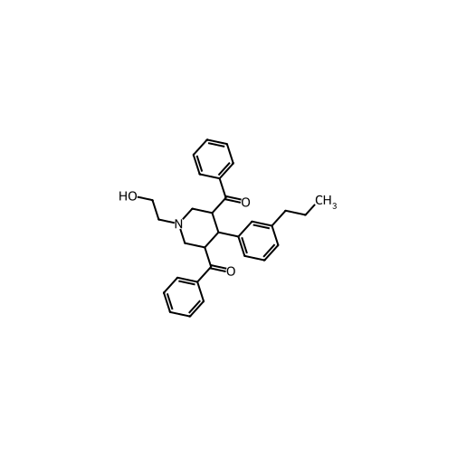 CCCc1cccc(C2C(C(=O)c3ccccc3)CN(CCO)CC2C(=O)c2ccccc2)c1